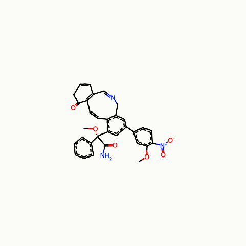 COc1cc(-c2cc3c(c([C@@](OC)(C(N)=O)c4ccccc4)c2)C=CC2=C(C=CCC2=O)C=NC3)ccc1[N+](=O)[O-]